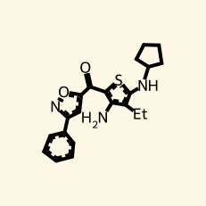 CCc1c(NC2CCCC2)sc(C(=O)c2cc(-c3ccccc3)no2)c1N